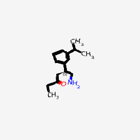 CCC(=O)C[C@H](CN)c1cccc(C(C)C)c1